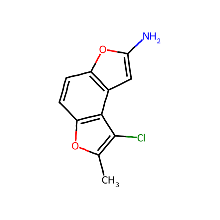 Cc1oc2ccc3oc(N)cc3c2c1Cl